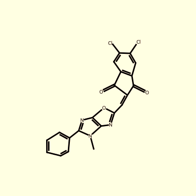 Cn1c(-c2ccccc2)nc2oc(C=C3C(=O)c4cc(Cl)c(Cl)cc4C3=O)nc21